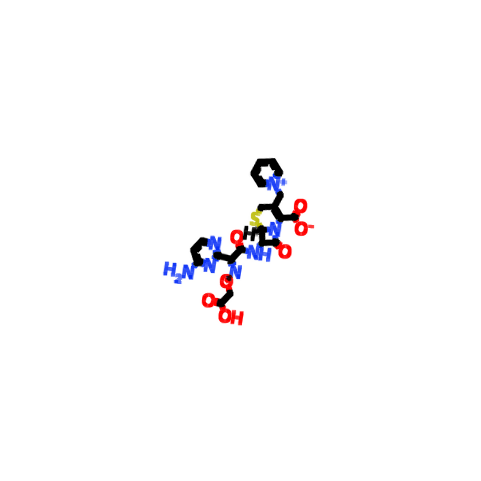 Nc1ccnc(C(=NOCC(=O)O)C(=O)NC2C(=O)N3C(C(=O)[O-])=C(C[n+]4ccccc4)CS[C@@H]23)n1